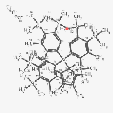 CC1=C(C)[C]([Ti+3])([Si](c2cc([Si](C)(C)C)c([Si](C)(C)C)c(C)c2[Si](C)(C)C)(c2cc([Si](C)(C)C)c([Si](C)(C)C)c(C)c2[Si](C)(C)C)c2cc([Si](C)(C)C)c([Si](C)(C)C)c(C)c2[Si](C)(C)C)C(C)=C1C.[Cl-].[Cl-].[Cl-]